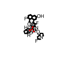 C#Cc1c(F)ccc2cc(O)cc(-c3ncc4c(N5C[C@H]6CC[C@@H](C5)C6S(=O)(=O)C(F)(F)F)nc(OC[C@@]56CCCN5C[C@H](F)C6)nc4c3F)c12